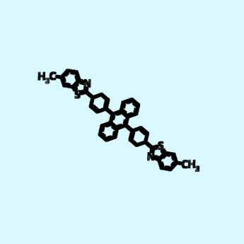 Cc1ccc2nc(C3C=CC(c4c5ccccc5c(C5=CCC(c6nc7ccc(C)cc7s6)C=C5)c5ccccc45)=CC3)sc2c1